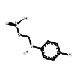 O=[PH](O)OC[S@@+]([O-])c1ccc(Cl)cc1